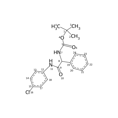 CC(C)(C)OC(=O)NC(C(=O)Nc1ccc(Cl)cc1)c1ccccc1